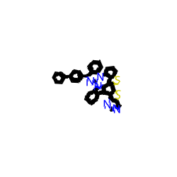 c1ccc(-c2ccc(-c3nc(-n4c5ccccc5c5c6c7ncncc7sc6c6sc7ccccc7c6c54)nc4ccccc34)cc2)cc1